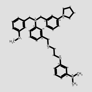 COc1cccc(CN(Cc2cccc(N3CCCC3)c2)c2cccc(COCCOc3cccc(N(C)C)c3)c2)c1